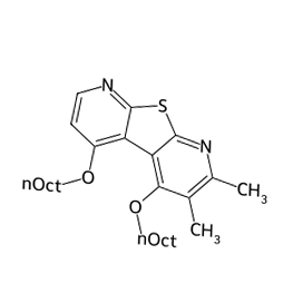 CCCCCCCCOc1ccnc2sc3nc(C)c(C)c(OCCCCCCCC)c3c12